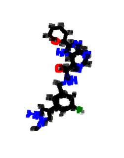 CN1C=C(c2cc(F)cc(CNC(=O)c3ncnc4nc(C5CCCCO5)[nH]c34)c2)CN1